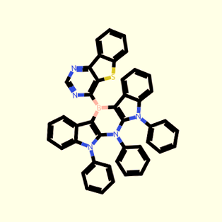 c1ccc(N2c3c(c4ccccc4n3-c3ccccc3)B(c3ncnc4c3sc3ccccc34)c3c2n(-c2ccccc2)c2ccccc32)cc1